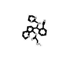 CCC(=O)Oc1c(C(Nc2ncccn2)c2ccccc2C#N)ccc2cccnc12